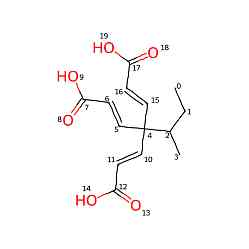 CCC(C)C(C=CC(=O)O)(C=CC(=O)O)C=CC(=O)O